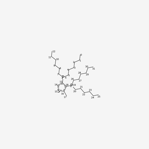 CCCCCCP(CCCCCC)c1csc(C)c1P(CCCCCC)CCCCCC